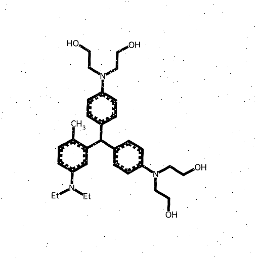 CCN(CC)c1ccc(C)c(C(c2ccc(N(CCO)CCO)cc2)c2ccc(N(CCO)CCO)cc2)c1